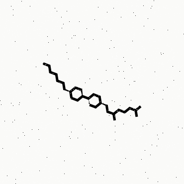 CCCCCCC[C@H]1CC[C@@H]([C@H]2CC[C@H](CCC(C)CCCC(C)C)CC2)CC1